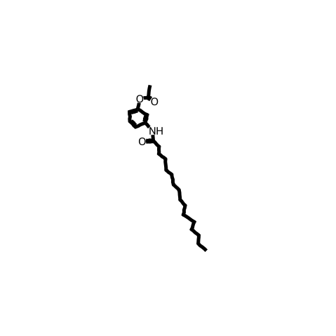 CCCCCCCCCCCCCCCC(=O)Nc1cccc(OC(C)=O)c1